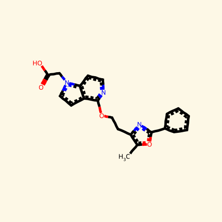 Cc1oc(-c2ccccc2)nc1CCOc1nccc2c1ccn2CC(=O)O